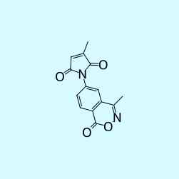 CC1=CC(=O)N(c2ccc3c(=O)onc(C)c3c2)C1=O